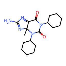 CC12N=C(N)N=C1C(=O)N(C1CCCCC1)C(=O)N2C1CCCCC1